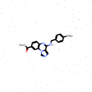 COC(=O)c1ccc2nc(NCc3ccc(OC)cc3)c3cncn3c2c1